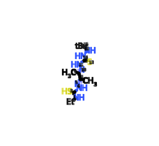 CCNC(S)N/N=C(C)/C(C)=N/NC(=S)NNC(C)(C)C